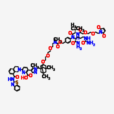 Cc1c(-c2ccc(N3CCc4cccc(C(=O)Nc5nc6ccccc6s5)c4C3)nc2C(=O)O)cnn1CC12CC3(C)CC(C)(C1)CC(OCCOCCOCCN(C)C(=O)OCc1ccc(N(C(=O)[C@@H](NC(=O)COCCOCCN4C(=O)C=CC4=O)C(C)C)[C@@H](CCCNC(N)=O)C(N)=O)cc1)(C3)C2